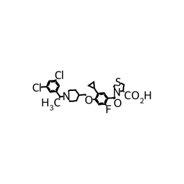 CC(c1cc(Cl)cc(Cl)c1)N1CCC(COc2cc(F)c(C(=O)N3CSC[C@H]3C(=O)O)cc2C2CC2)CC1